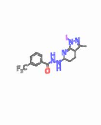 CC1=NN(I)C2=NC(NNC(=O)c3cccc(C(F)(F)F)c3)CCC12